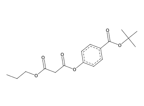 CCCOC(=O)CC(=O)Oc1ccc(C(=O)OC(C)(C)C)cc1